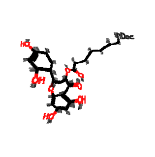 CCCCCCCCCCCCCCCCC(=O)Oc1c(-c2ccc(O)cc2O)oc2cc(O)cc(O)c2c1=O